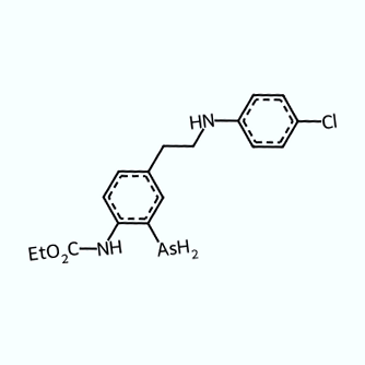 CCOC(=O)Nc1ccc(CCNc2ccc(Cl)cc2)cc1[AsH2]